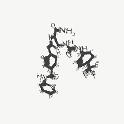 NC(=O)c1nc(Cc2ccc(C(=O)Nc3ccccn3)cc2)[nH]c1NC(=O)Nc1ccc(C(F)(F)F)cc1